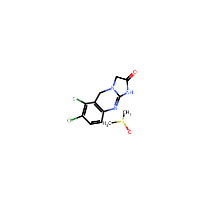 C[S+](C)[O-].O=C1CN2Cc3c(ccc(Cl)c3Cl)N=C2N1